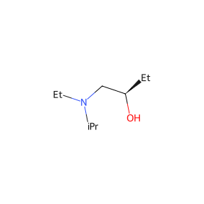 CC[C@@H](O)CN(CC)C(C)C